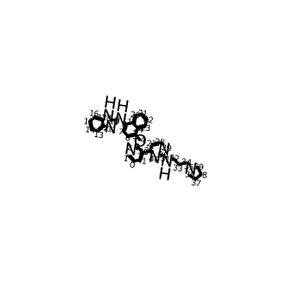 c1cnc(Oc2ccc(Nc3nc4ccccc4[nH]3)c3ccccc23)c(-c2ccnc(NCCCN3CCCC3)n2)c1